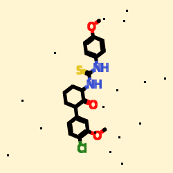 COc1ccc(NC(=S)NC2CCCC(c3ccc(Cl)c(OC)c3)C2=O)cc1